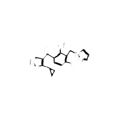 O=C(c1cnoc1C1CC1)c1ccc(Cl)c(Cn2cccn2)c1Cl